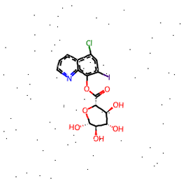 O=C(Oc1c(I)cc(Cl)c2cccnc12)[C@H]1O[C@@H](O)[C@H](O)[C@@H](O)[C@@H]1O